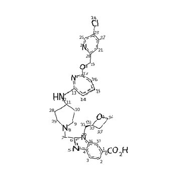 O=C(O)c1ccc2nc(CN3CCC(Nc4cccc(OCc5ccc(Cl)cn5)n4)CC3)n(C[C@@H]3CCO3)c2c1